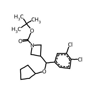 CC(C)(C)OC(=O)N1CC(C(OC2CCCC2)c2ccc(Cl)c(Cl)c2)C1